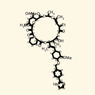 CCC1/C=C(\C)CC(C)CC(OC)C2OC(O)(C(=O)C(=O)N3CCCCC3C(=O)OC(C(C)=CC3CCC(OCc4ccc(-c5ncc[nH]5)cc4)C(OC)C3)C(C)C(O)CC1=O)C(C)CC2OC